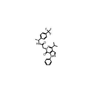 CC(C)c1nn(CC(=O)N[C@@H](C)c2ccc(C(F)(F)F)cc2)c(=O)c2c1cnn2-c1ccccc1